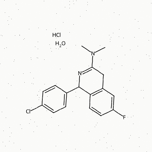 CN(C)C1=NC(c2ccc(Cl)cc2)c2ccc(F)cc2C1.Cl.O